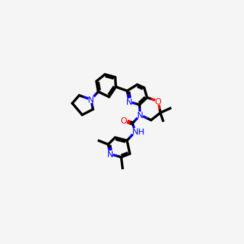 Cc1cc(NC(=O)N2CC(C)(C)Oc3ccc(-c4cccc(N5CCCC5)c4)nc32)cc(C)n1